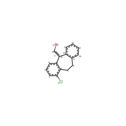 Clc1cccc2c1CCc1ccccc1/C2=C\Br